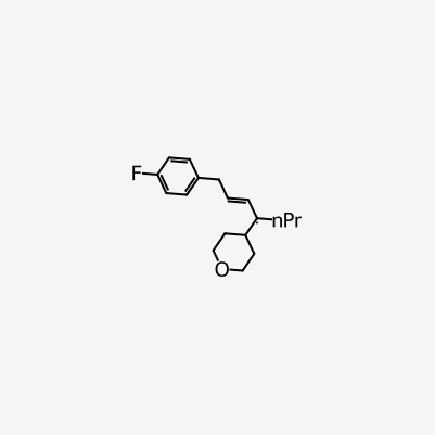 CCC[C](C=CCc1ccc(F)cc1)C1CCOCC1